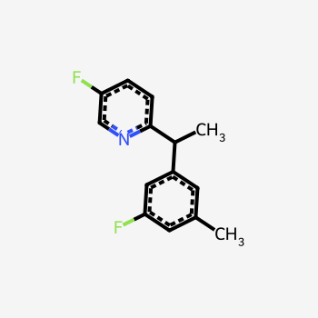 Cc1cc(F)cc(C(C)c2ccc(F)cn2)c1